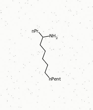 [CH2]CCC(N)CCCCCCCCCC